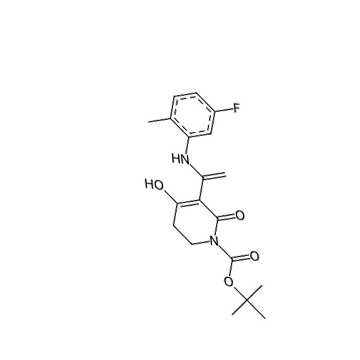 C=C(Nc1cc(F)ccc1C)C1=C(O)CCN(C(=O)OC(C)(C)C)C1=O